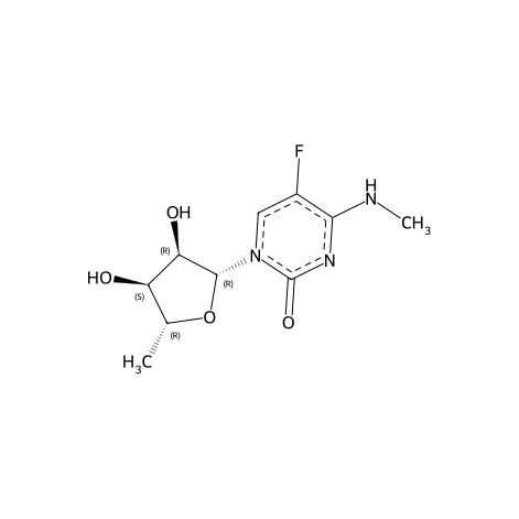 CNc1nc(=O)n([C@@H]2O[C@H](C)[C@@H](O)[C@H]2O)cc1F